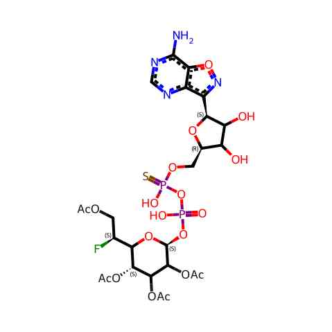 CC(=O)OC[C@H](F)C1O[C@@H](OP(=O)(O)OP(O)(=S)OC[C@H]2O[C@@H](c3noc4c(N)ncnc34)C(O)C2O)C(OC(C)=O)C(OC(C)=O)[C@@H]1OC(C)=O